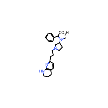 CN(C1CCN(CCCc2ccc3c(n2)NCCC3)C1)C(C(=O)O)c1ccccc1